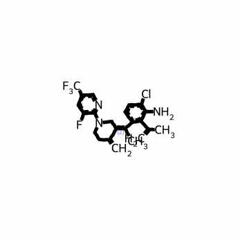 C=C1CCN(c2ncc(C(F)(F)F)cc2F)C/C1=C(/C)c1ccc(Cl)c(N)c1C(=C)C